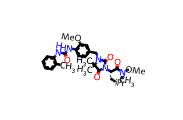 COc1cc(CN2C(=O)N([C@@H](CC(C)C)C(=O)N(C)OC)C(=O)C2(C)C)ccc1NC(=O)Nc1ccccc1C